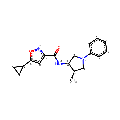 C[C@@H]1CN(c2ccccc2)C[C@@H]1NC(=O)c1cc(C2CC2)on1